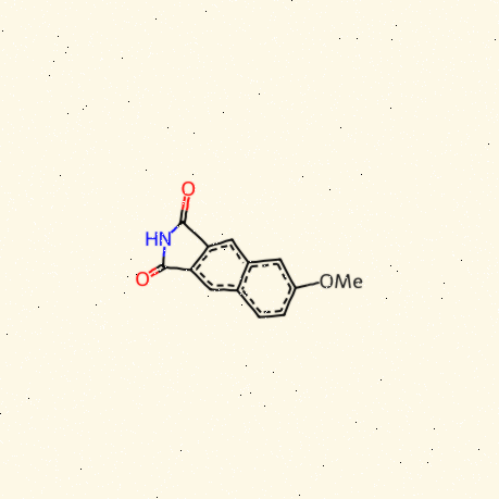 COc1ccc2cc3c(cc2c1)C(=O)NC3=O